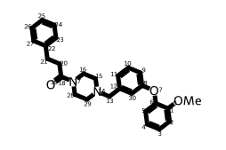 COc1ccccc1Oc1cccc(CN2CCN(C(=O)CCc3ccccc3)CC2)c1